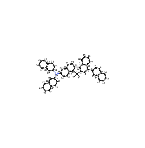 CC1(C)c2cc(-c3ccc4ccccc4c3)c3ccccc3c2-c2ccc3cc(N(c4ccc5ccccc5c4)c4ccc5ccccc5c4)ccc3c21